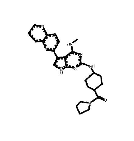 CNc1nc(NC2CCC(C(=O)N3CCCC3)CC2)nc2[nH]cc(-c3ccc4ncccc4n3)c12